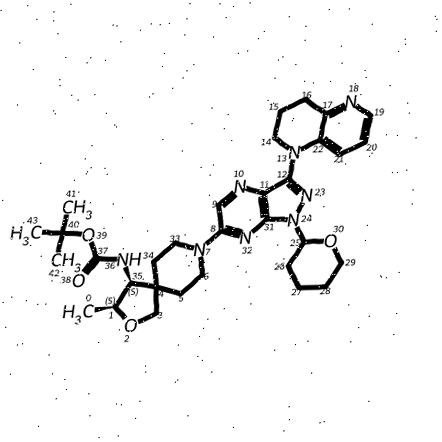 C[C@@H]1OCC2(CCN(c3cnc4c(N5CCCc6ncccc65)nn(C5CCCCO5)c4n3)CC2)[C@@H]1NC(=O)OC(C)(C)C